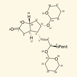 CCCCC[C@H](/C=C/[C@@H]1[C@H]2CC(=O)O[C@@H]2C[C@@H]1OC1CCCCO1)OC1CCCCO1